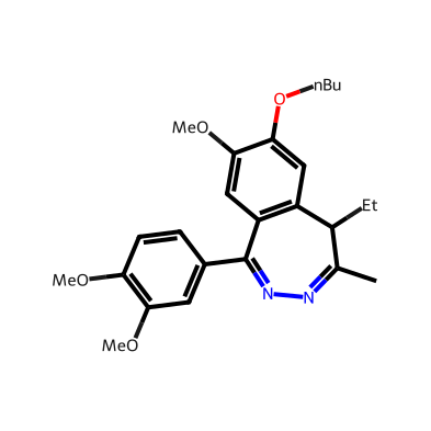 CCCCOc1cc2c(cc1OC)C(c1ccc(OC)c(OC)c1)=NN=C(C)C2CC